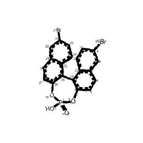 O=P1(O)Oc2ccc3cc(Br)ccc3c2-c2c(ccc3cc(Br)ccc23)O1